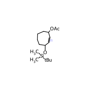 CC(=O)OC1/C=C\C(O[Si](C)(C)C(C)(C)C)CCCC1